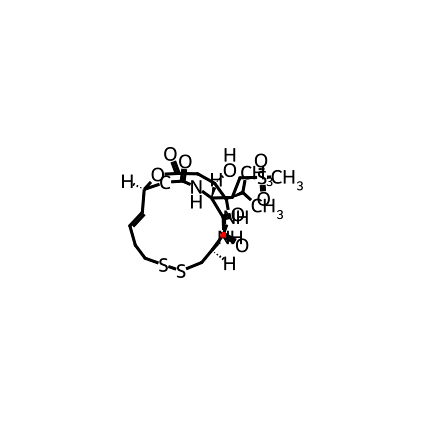 CC(C)[C@H]1NC(=O)[C@H]2CSSCC/C=C/[C@H](CC(=O)N[C@H](CCS(C)(=O)=O)C(=O)N2)OC(=O)C[C@@H]1O